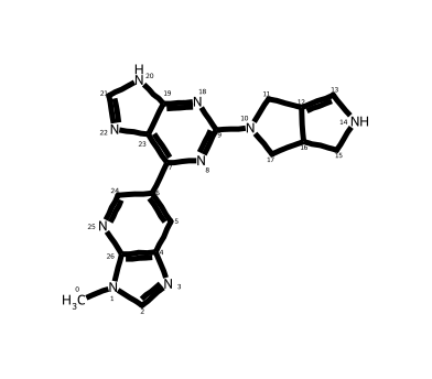 Cn1cnc2cc(-c3nc(N4CC5=CNCC5C4)nc4[nH]cnc34)cnc21